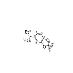 CC[C@@H](O)c1ccc2c(c1)OC(F)(F)O2